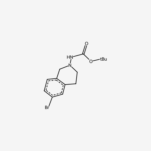 CC(C)(C)OC(=O)NN1CCc2cc(Br)ccc2C1